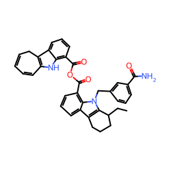 CCC1CCCc2c1n(Cc1cccc(C(N)=O)c1)c1c(C(=O)OC(=O)c3cccc4c5c([nH]c34)C=CC=CC5)cccc21